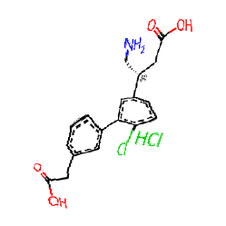 Cl.NC[C@H](CC(=O)O)c1ccc(Cl)c(-c2cccc(CC(=O)O)c2)c1